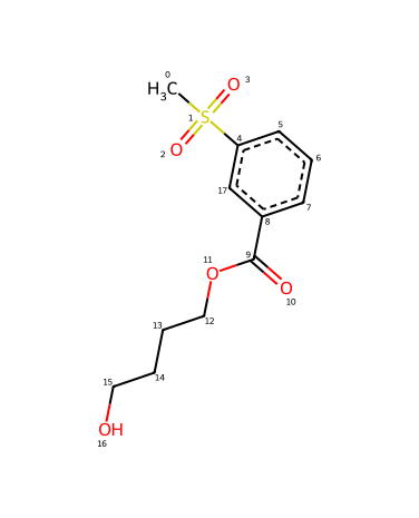 CS(=O)(=O)c1cccc(C(=O)OCCCCO)c1